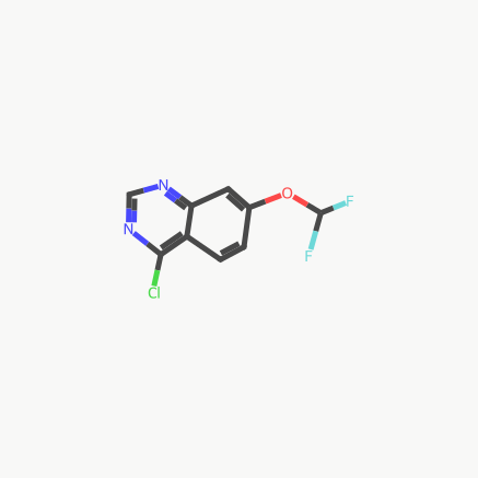 FC(F)Oc1ccc2c(Cl)ncnc2c1